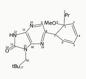 COC1(C(C)C)C=CC=CC1c1cnc2[nH]c(=O)n(CC(C)(C)C)c2n1